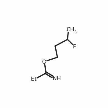 CCC(=N)OCCC(C)F